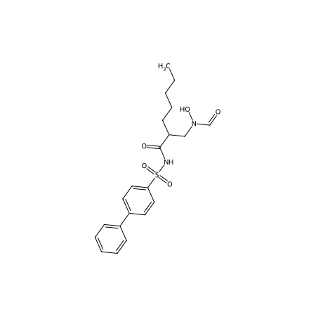 CCCCCC(CN(O)C=O)C(=O)NS(=O)(=O)c1ccc(-c2ccccc2)cc1